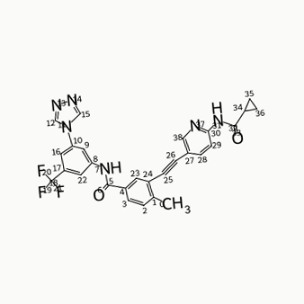 Cc1ccc(C(=O)Nc2cc(-n3cnnc3)cc(C(F)(F)F)c2)cc1C#Cc1ccc(NC(=O)C2CC2)nc1